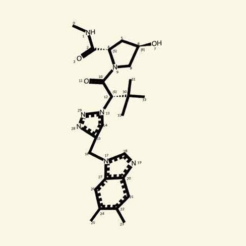 CNC(=O)[C@@H]1C[C@@H](O)CN1C(=O)[C@@H](n1cc(Cn2cnc3cc(C)c(C)cc32)nn1)C(C)(C)C